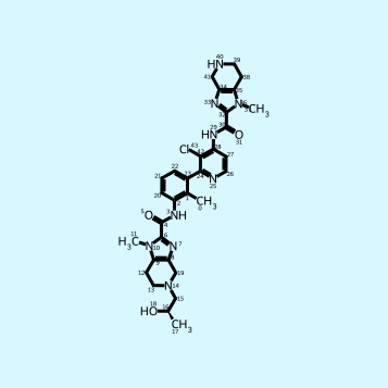 Cc1c(NC(=O)c2nc3c(n2C)CCN(C[C@@H](C)O)C3)cccc1-c1nccc(NC(=O)c2nc3c(n2C)CCNC3)c1Cl